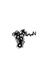 N#CCCCN1C[C@@H](Nc2c([N+](=O)[O-])cnc3c2ccn3S(=O)(=O)c2ccccc2)C2(CC2)C1